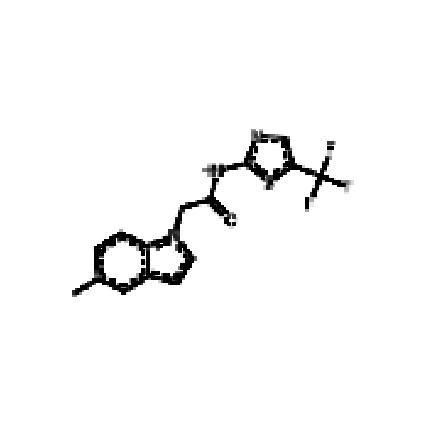 Cc1ccc2c(ccn2CC(=O)Nc2ncc(C(F)(F)F)s2)c1